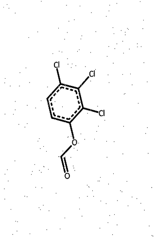 O=[C]Oc1ccc(Cl)c(Cl)c1Cl